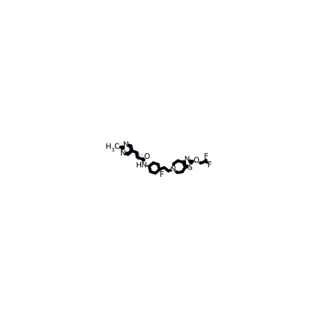 Cc1ncc(/C=C/C(=O)N[C@H]2CC[C@](F)(CCN3CCc4nc(OCC(F)F)sc4CC3)CC2)cn1